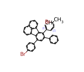 C/C=C(\C=C/C(C)Br)c1c(-c2ccccc2)cc(-c2ccc(Br)cc2)c2c1-c1cccc3cccc-2c13